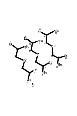 CCCCC(CC)COCC(CC)CCCC.CCCCC(CC)COCC(CC)CCCC.CCCCC(CC)COCC(CC)CCCC.[Al]